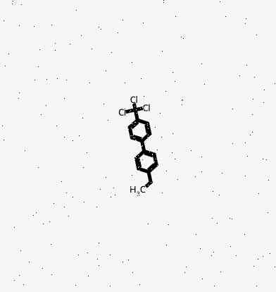 CCc1ccc(-c2ccc(C(Cl)(Cl)Cl)cc2)cc1